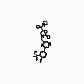 CC(F)(F)c1cc(-c2cncc(CN3CC(C(=O)N4CCC4)OC3=O)n2)ccc1F